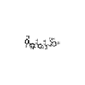 Cc1nnc(-c2cc(Cl)ccc2F)cc1Nc1ccnc(NC(=O)CCN2CCNCC2CO)c1